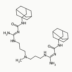 CN(CCCNC(N)=NC(=O)NC12CC3CC(CC(C3)C1)C2)CCCNC(N)=NC(=O)NC12CC3CC(CC(C3)C1)C2